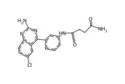 NC(=O)CCC(=O)Nc1cccc(-c2nc(N)nc3ccc(Cl)cc23)c1